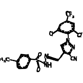 Cc1ccc(S(=O)(=O)NN=Cc2cn(-c3c(Cl)cc(C(F)(F)F)cc3Cl)nc2C#N)cc1